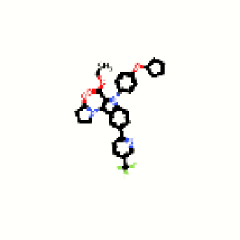 CCOC(=O)c1c(N2CCCC2=O)c2cc(-c3ccc(C(F)(F)F)cn3)ccc2n1-c1ccc(OC2CCCC2)cc1